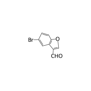 O=Cc1coc2ccc(Br)cc12